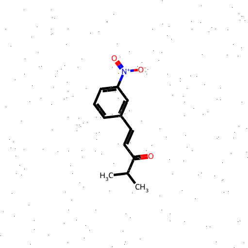 CC(C)C(=O)C=Cc1cccc([N+](=O)[O-])c1